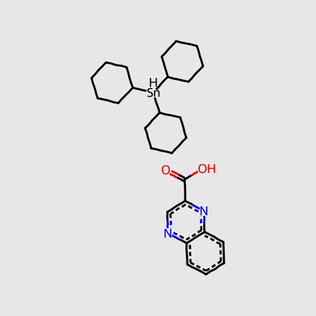 C1CC[CH]([SnH]([CH]2CCCCC2)[CH]2CCCCC2)CC1.O=C(O)c1cnc2ccccc2n1